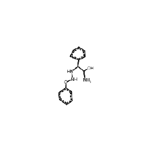 NC(O)C(NNOc1ccccc1)c1ccccc1